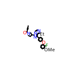 CC#CC(=O)N1CCC(c2nc(-c3ccc(Oc4cccc(OC)c4F)cc3)c3c(CC)nccn23)C1